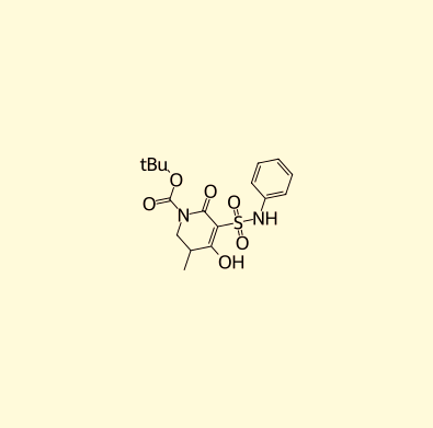 CC1CN(C(=O)OC(C)(C)C)C(=O)C(S(=O)(=O)Nc2ccccc2)=C1O